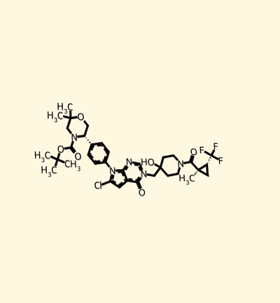 CC(C)(C)OC(=O)N1CC(C)(C)OC[C@@H]1c1ccc(-n2c(Cl)cc3c(=O)n(CC4(O)CCN(C(=O)[C@]5(C)C[C@H]5C(F)(F)F)CC4)cnc32)cc1